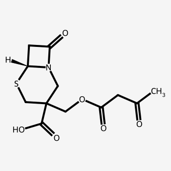 CC(=O)CC(=O)OCC1(C(=O)O)CS[C@@H]2CC(=O)N2C1